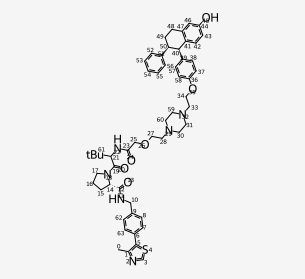 Cc1ncsc1-c1ccc(CNC(=O)[C@@H]2CCCN2C(=O)C(NC(=O)COCCN2CCN(CCOc3ccc([C@@H]4c5ccc(O)cc5CC[C@@H]4c4ccccc4)cc3)CC2)C(C)(C)C)cc1